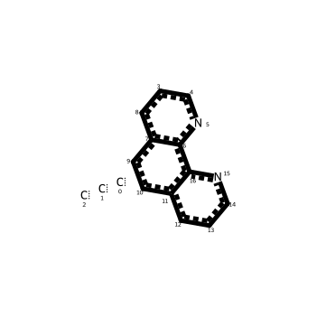 [C].[C].[C].c1cnc2c(c1)ccc1cccnc12